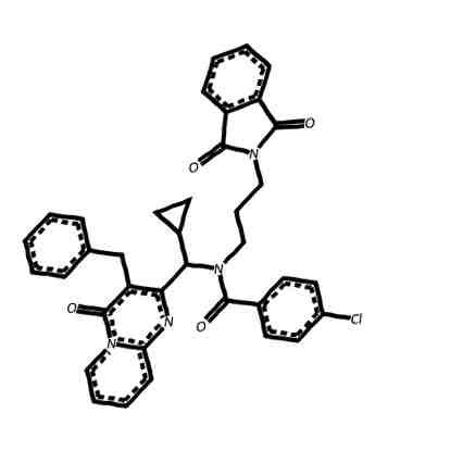 O=C1c2ccccc2C(=O)N1CCCN(C(=O)c1ccc(Cl)cc1)C(c1nc2ccccn2c(=O)c1Cc1ccccc1)C1CC1